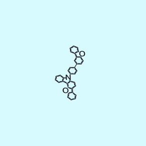 c1ccc2c(c1)oc1ccc(-c3ccc(-n4c5ccccc5c5c6oc7ccccc7c6ccc54)cc3)cc12